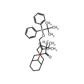 COC(=O)C1CC2CCCC(C1)C2N1CC(CO[Si](c2ccccc2)(c2ccccc2)C(C)(C)C)C(C)(C)C1=O